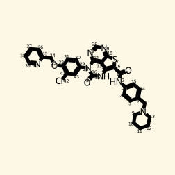 O=C(Nc1ccc(CN2CCCCC2)cc1)c1sc2ncnc3c2c1NC(=O)N3c1ccc(OCc2ccccn2)c(Cl)c1